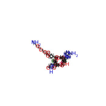 NCCCOCCOCCOCC(=O)Oc1ccc(CSP2(=O)OC[C@H]3O[C@@H](n4cnc5c(N)ncnc54)[C@H](F)[C@@H]3OP(=O)(O)OC[C@H]3O[C@@H](n4ccc(=O)[nH]c4=O)[C@H](F)[C@@H]3O2)cc1